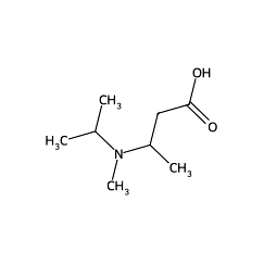 CC(C)N(C)C(C)CC(=O)O